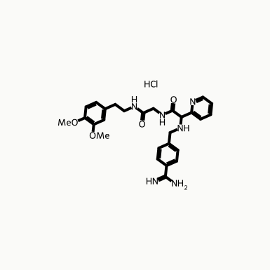 COc1ccc(CCNC(=O)CNC(=O)C(NCc2ccc(C(=N)N)cc2)c2ccccn2)cc1OC.Cl